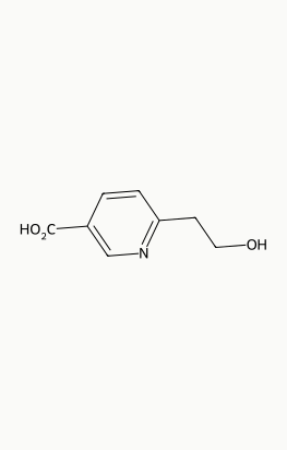 O=C(O)c1ccc(CCO)nc1